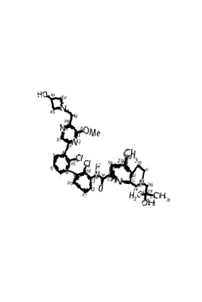 COc1nc(-c2cccc(-c3cccc(NC(=O)c4cc(C)c5c(n4)CN(CC(C)(C)O)CC5)c3Cl)c2Cl)cnc1CN1CC(O)C1